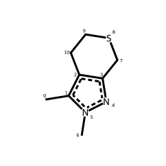 Cc1c2c(nn1C)CSCC2